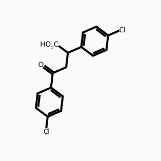 O=C(CC(C(=O)O)c1ccc(Cl)cc1)c1ccc(Cl)cc1